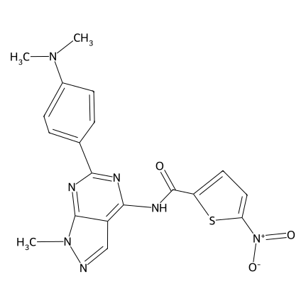 CN(C)c1ccc(-c2nc(NC(=O)c3ccc([N+](=O)[O-])s3)c3cnn(C)c3n2)cc1